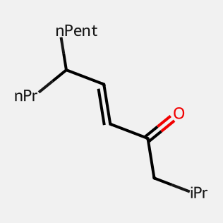 CCCCCC(C=CC(=O)CC(C)C)CCC